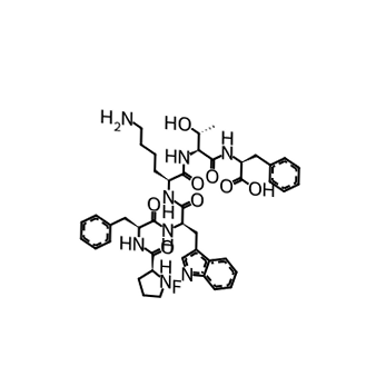 C[C@@H](O)[C@H](NC(=O)[C@H](CCCCN)NC(=O)[C@@H](Cc1cn(F)c2ccccc12)NC(=O)[C@H](Cc1ccccc1)NC(=O)[C@@H]1CCCN1)C(=O)N[C@@H](Cc1ccccc1)C(=O)O